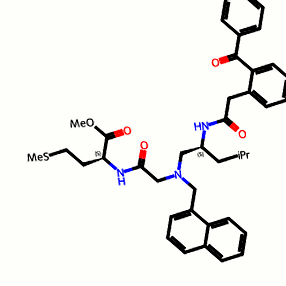 COC(=O)[C@H](CCSC)NC(=O)CN(Cc1cccc2ccccc12)C[C@H](CC(C)C)NC(=O)Cc1ccccc1C(=O)c1ccccc1